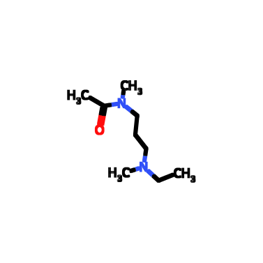 CCN(C)CCCN(C)C(C)=O